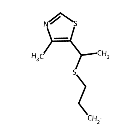 [CH2]CCSC(C)c1scnc1C